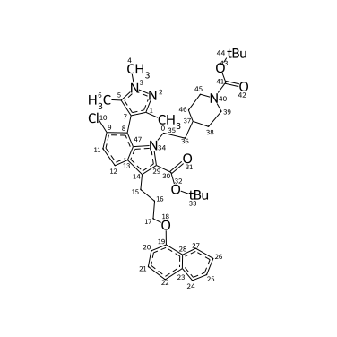 Cc1nn(C)c(C)c1-c1c(Cl)ccc2c(CCCOc3cccc4ccccc34)c(C(=O)OC(C)(C)C)n(CCC3CCN(C(=O)OC(C)(C)C)CC3)c12